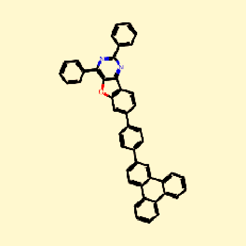 c1ccc(-c2nc(-c3ccccc3)c3oc4cc(-c5ccc(-c6ccc7c8ccccc8c8ccccc8c7c6)cc5)ccc4c3n2)cc1